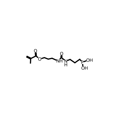 C=C(C)C(=O)OCCCNC(=O)NCCCP(O)O